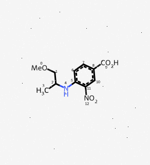 COCC(C)Nc1ccc(C(=O)O)cc1[N+](=O)[O-]